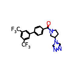 O=C(c1ccc(-c2cc(C(F)(F)F)cc(C(F)(F)F)c2)cc1)N1CCC(n2cnnc2)C1